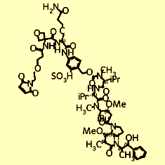 CCC(C)C([C@@H](CC(=O)N1CCC[C@H]1[C@H](OC)[C@@H](C)C(=O)N[C@H](C)[C@@H](O)c1ccccc1)OC)N(C)C(=O)[C@@H](NC(=O)[C@H](C(C)C)N(C)C(=O)OCc1ccc(NC(=O)[C@H](CCCCC(N)=O)NC(=O)C2(NC(=O)CCOCCN3C(=O)C=CC3=O)COC2)cc1S(=O)(=O)O)C(C)C